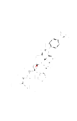 CC(C)[C@]1(C(=O)Nc2ccc([N+](=O)[O-])cc2)C(=O)CCC(=O)N1C(=O)[C@@H]1CCCN1C(=O)[C@H](C)NC(=O)[C@H](C)N